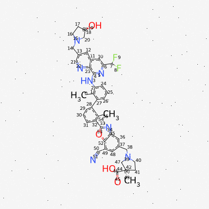 Cc1c(Nc2nc(C(F)F)cc3cc(CN4CC[C@@H](O)C4)cnc23)cccc1-c1cccc(-c2nc3cc(CN4CC[C@@](C)(C(=O)O)C4)cc(C#N)c3o2)c1C